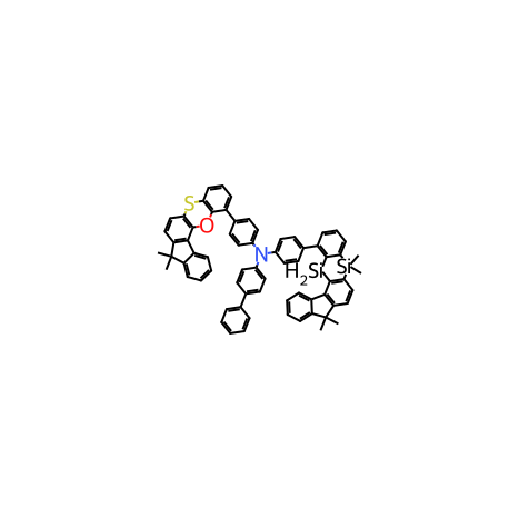 CC1(C)c2ccccc2-c2c1ccc1c2Oc2c(cccc2-c2ccc(N(c3ccc(-c4ccccc4)cc3)c3ccc(-c4cccc5c4[SiH2]c4c(ccc6c4-c4ccccc4C6(C)C)[Si]5(C)C)cc3)cc2)S1